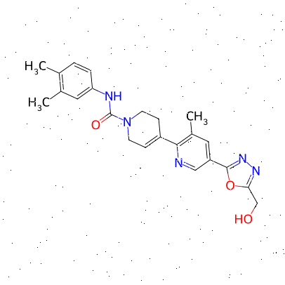 Cc1ccc(NC(=O)N2CC=C(c3ncc(-c4nnc(CO)o4)cc3C)CC2)cc1C